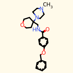 CN1CCN(C2(CNC(=O)c3ccc(OCc4ccccc4)cc3)CCOCC2)CC1